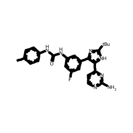 Cc1ccc(NC(=O)Nc2cc(F)cc(-c3nc(C(C)(C)C)[nH]c3-c3ccnc(N)n3)c2)cc1